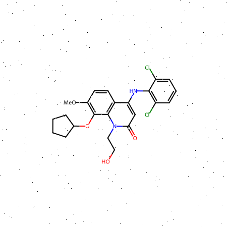 COc1ccc2c(Nc3c(Cl)cccc3Cl)cc(=O)n(CCO)c2c1OC1CCCC1